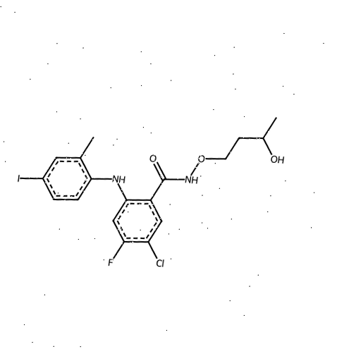 Cc1cc(I)ccc1Nc1cc(F)c(Cl)cc1C(=O)NOCCC(C)O